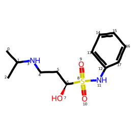 CC(C)NCC[C@H](O)S(=O)(=O)Nc1ccccc1